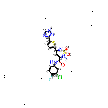 CN1C(C(=O)Nc2ccc(F)c(Cl)c2)=CC(c2ccc(-c3ncn(C)n3)s2)=NS1(=O)=O